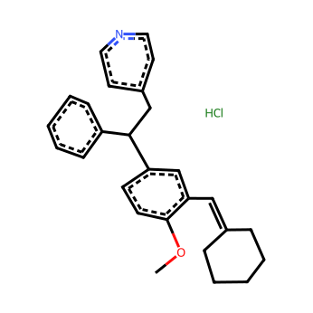 COc1ccc(C(Cc2ccncc2)c2ccccc2)cc1C=C1CCCCC1.Cl